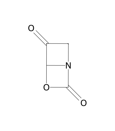 O=C1CN2C(=O)OC12